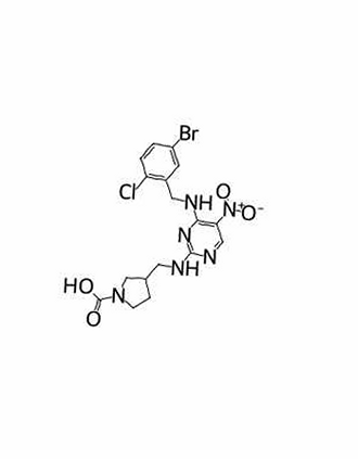 O=C(O)N1CCC(CNc2ncc([N+](=O)[O-])c(NCc3cc(Br)ccc3Cl)n2)C1